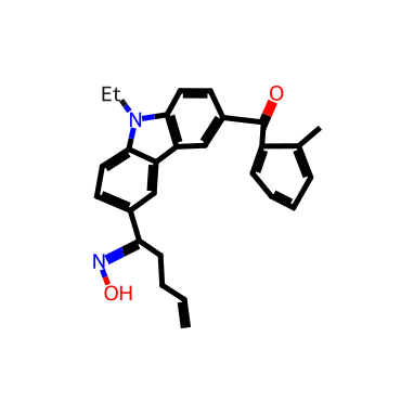 C=CCC/C(=N\O)c1ccc2c(c1)c1cc(C(=O)c3ccccc3C)ccc1n2CC